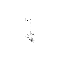 Cc1nc2c(c3ccccc3n3nnnc23)n1CCOCCCc1cccnc1